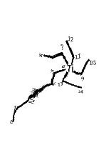 CCCCC[CH2][Ti]([CH2]C)([CH2]C)([CH2]C)[CH2]C